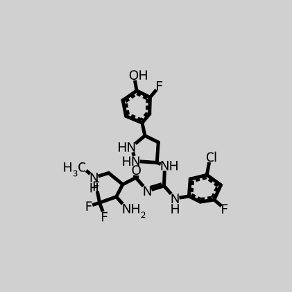 CNCC(C(=O)/N=C(/Nc1cc(F)cc(Cl)c1)NC1CC(c2ccc(O)c(F)c2)NN1)C(N)C(F)(F)F